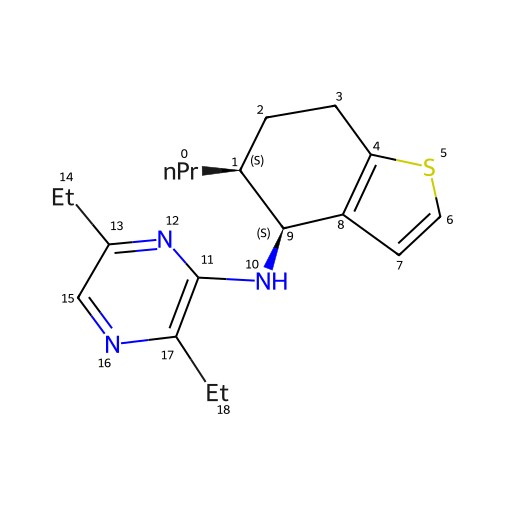 CCC[C@H]1CCc2sccc2[C@H]1Nc1nc(CC)cnc1CC